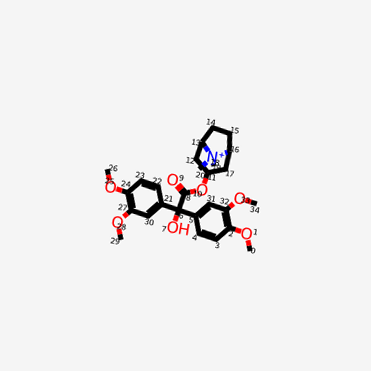 COc1ccc(C(O)(C(=O)OC2CC3CCC(C2)[N+]3(C)C)c2ccc(OC)c(OC)c2)cc1OC